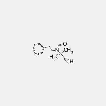 C#CC(C)(C)N(C=O)CCc1ccccc1